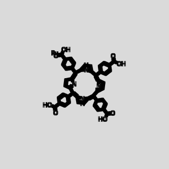 O=C(O)c1ccc(-c2c3nc(c(-c4ccc(C(=O)O)cc4)c4ccc([nH]4)c(-c4ccc(C(=O)O)cc4)c4nc(c(-c5ccc(C(=O)O)cc5)c5ccc2[nH]5)C=C4)C=C3)cc1.[Ru]